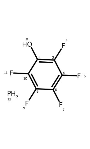 Oc1c(F)c(F)c(F)c(F)c1F.P